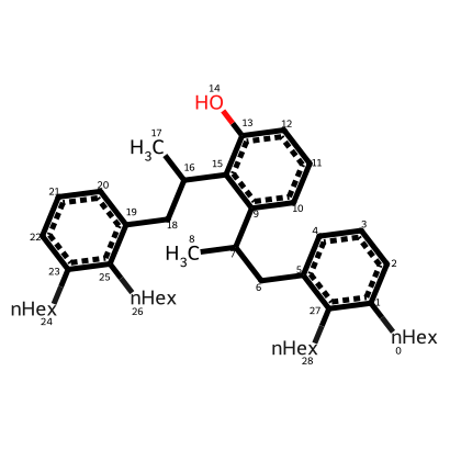 CCCCCCc1cccc(CC(C)c2cccc(O)c2C(C)Cc2cccc(CCCCCC)c2CCCCCC)c1CCCCCC